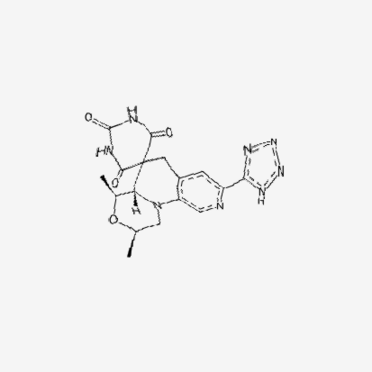 C[C@@H]1CN2c3cnc(-c4nnn[nH]4)cc3CC3(C(=O)NC(=O)NC3=O)[C@H]2[C@H](C)O1